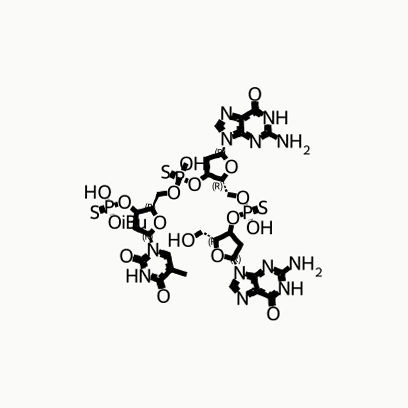 Cc1cn([C@H]2CC(OP(O)(=S)OCC(C)C)[C@@H](COP(O)(=S)OC3C[C@H](n4cnc5c(=O)[nH]c(N)nc54)O[C@@H]3COP(O)(=S)OC3C[C@H](n4cnc5c(=O)[nH]c(N)nc54)O[C@@H]3CO)O2)c(=O)[nH]c1=O